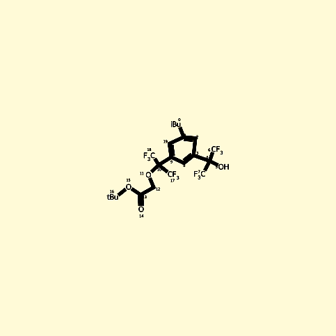 CCC(C)c1cc(C(O)(C(F)(F)F)C(F)(F)F)cc(C(OCC(=O)OC(C)(C)C)(C(F)(F)F)C(F)(F)F)c1